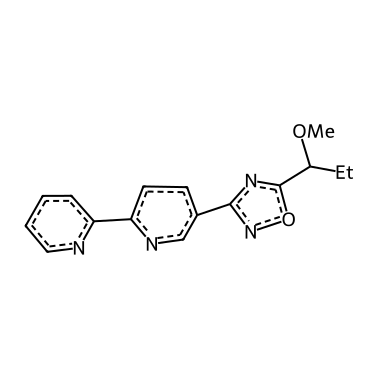 CCC(OC)c1nc(-c2ccc(-c3ccccn3)nc2)no1